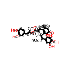 CCCCCCCC/C(=C(\C(=O)O)c1c(O)c(O)cc(CCCC)c1/C(=C/C(=O)O/C(=C/c1ccc(O)c(O)c1)C(=O)O)CCCC)c1ccc(O)c(O)c1